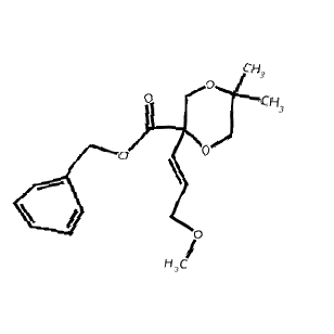 COC/C=C/C1(C(=O)OCc2ccccc2)COC(C)(C)CO1